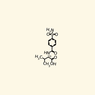 CC(C)[C@H](NC(=O)c1ccc(S(N)(=O)=O)cc1)C(=O)O